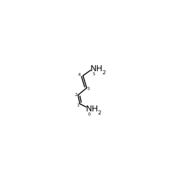 N/C=C\C=C\N